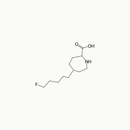 O=C(O)C1CCC(CCCCCF)CCN1